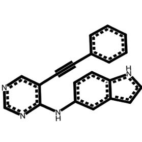 C(#Cc1cncnc1Nc1ccc2[nH]ccc2c1)c1ccccc1